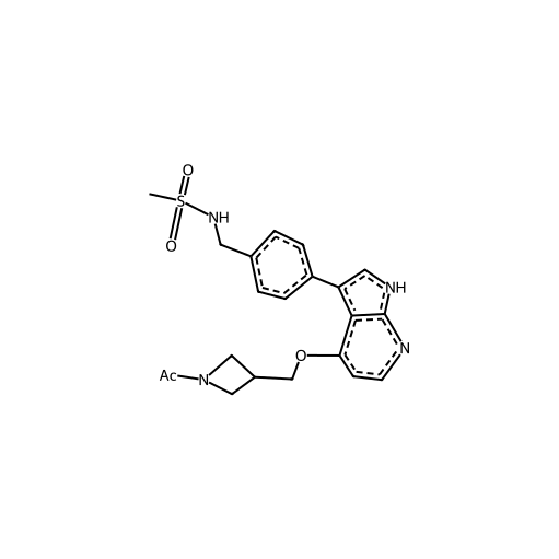 CC(=O)N1CC(COc2ccnc3[nH]cc(-c4ccc(CNS(C)(=O)=O)cc4)c23)C1